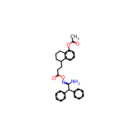 CC(=O)Oc1cccc2c1CCCC2CCC(=O)ON=C(N)C(c1ccccc1)c1ccccc1